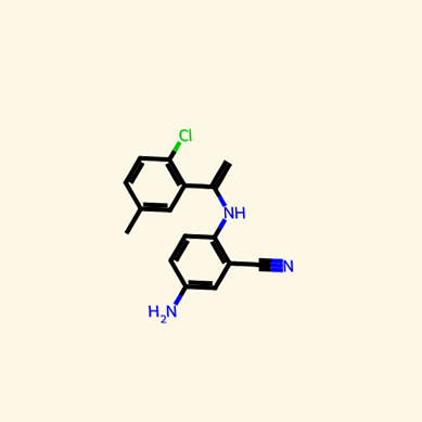 C=C(Nc1ccc(N)cc1C#N)c1cc(C)ccc1Cl